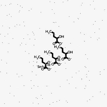 CCCC(O)C(=O)[O-].CCCC(O)C(=O)[O-].CCCC(O)C(=O)[O-].CCCC(O)C(=O)[O-].[Sn+4]